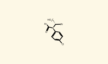 CC(=O)C(=O)N(c1ccc(Cl)cc1)[C@H](C(=O)O)C(C)C